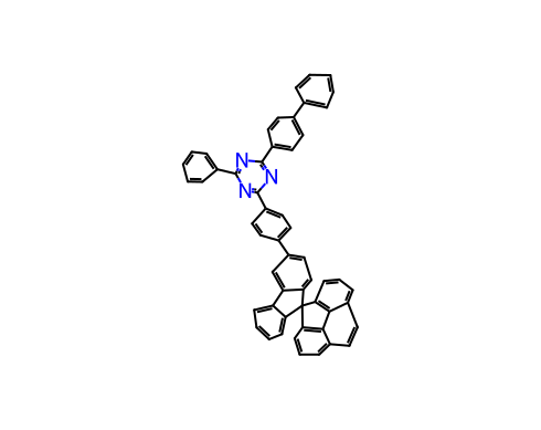 c1ccc(-c2ccc(-c3nc(-c4ccccc4)nc(-c4ccc(-c5ccc6c(c5)-c5ccccc5C65c6cccc7ccc8cccc5c8c67)cc4)n3)cc2)cc1